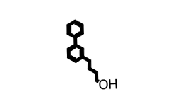 OCCCCc1cccc(-c2ccccc2)c1